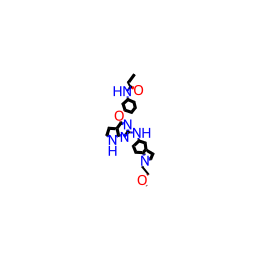 C=CC(=O)Nc1cccc(Oc2nc(Nc3ccc4c(ccn4CCOC)c3)nc3[nH]ccc23)c1